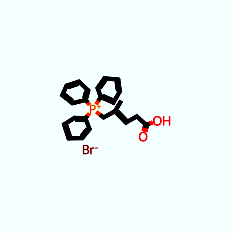 C/C(=C\CC(=O)O)C[P+](c1ccccc1)(c1ccccc1)c1ccccc1.[Br-]